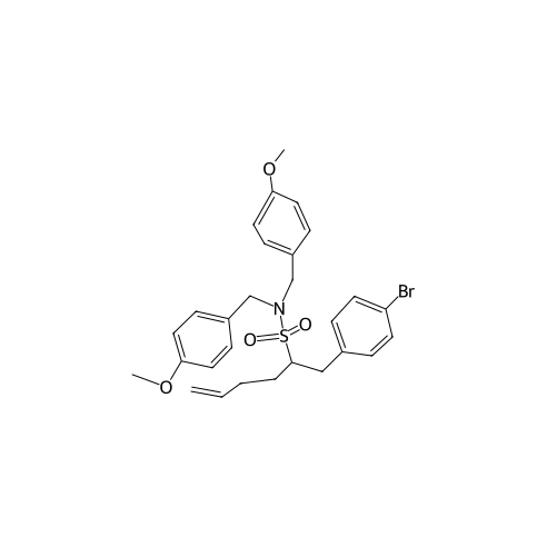 C=CCCC(Cc1ccc(Br)cc1)S(=O)(=O)N(Cc1ccc(OC)cc1)Cc1ccc(OC)cc1